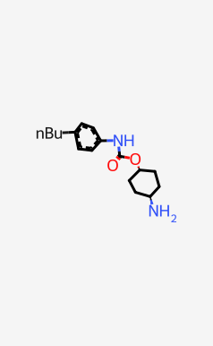 CCCCc1ccc(NC(=O)O[C@H]2CC[C@H](N)CC2)cc1